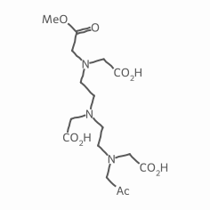 COC(=O)CN(CCN(CCN(CC(C)=O)CC(=O)O)CC(=O)O)CC(=O)O